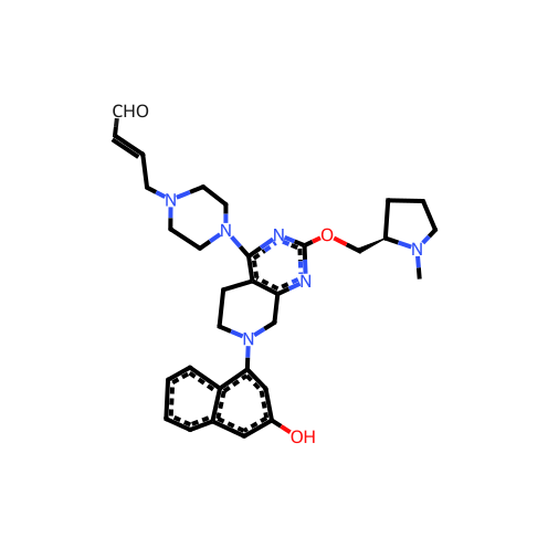 CN1CCC[C@@H]1COc1nc2c(c(N3CCN(C/C=C/C=O)CC3)n1)CCN(c1cc(O)cc3ccccc13)C2